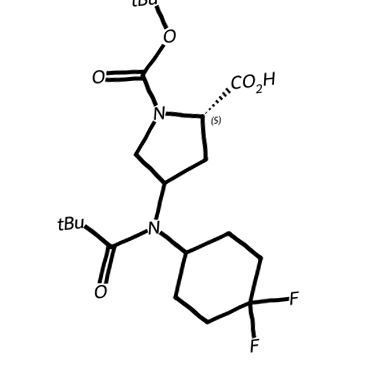 CC(C)(C)OC(=O)N1CC(N(C(=O)C(C)(C)C)C2CCC(F)(F)CC2)C[C@H]1C(=O)O